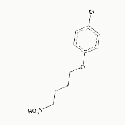 CCc1ccc(OCCCCS(=O)(=O)O)cc1